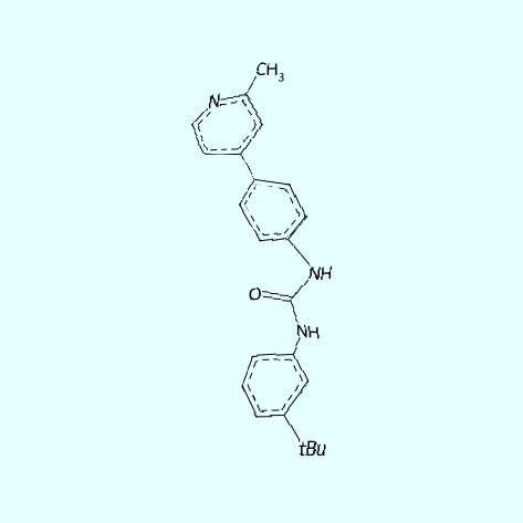 Cc1cc(-c2ccc(NC(=O)Nc3cccc(C(C)(C)C)c3)cc2)ccn1